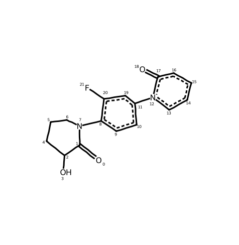 O=C1C(O)CCCN1c1ccc(-n2ccccc2=O)cc1F